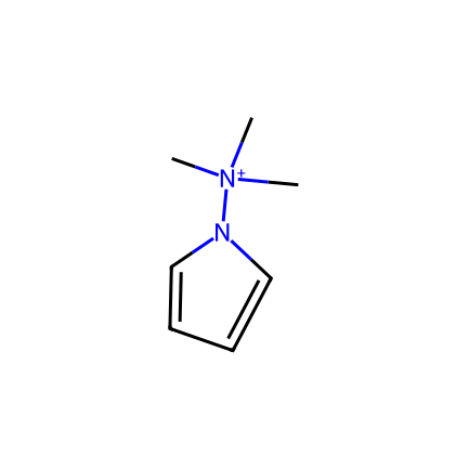 C[N+](C)(C)n1cccc1